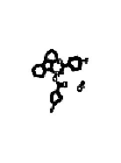 C[O-].O=C([O][Ti+]([O]C(=O)c1ccc(F)cc1)[CH]1C2=C(CCCC2)C2=C1CCCC2)c1ccc(F)cc1